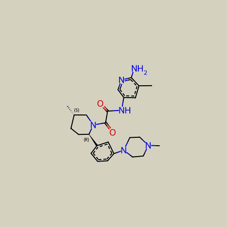 Cc1cc(NC(=O)C(=O)N2C[C@@H](C)CC[C@@H]2c2cccc(N3CCN(C)CC3)c2)cnc1N